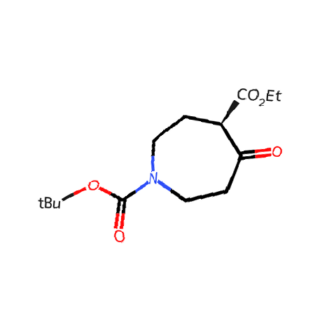 CCOC(=O)[C@@H]1CCN(C(=O)OC(C)(C)C)CCC1=O